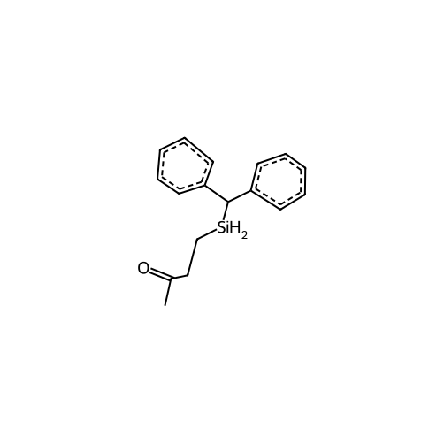 CC(=O)CC[SiH2]C(c1ccccc1)c1ccccc1